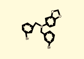 Brc1cccc(CN(Cc2cccc(Br)c2)c2ccc3c(c2)OCO3)c1